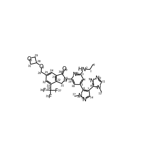 CCNc1cc(-c2c(-c3nncn3C)cnn2C)cc(N2Cc3c(cc(COC4COC4)cc3C(F)(F)F)C2=O)n1